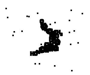 Cn1c(C(=O)Nc2cccc(-c3cccc(NC(=O)c4nc5c(n4C)CCN(CC46CCC(C=O)(CC4)C6)C5)c3Cl)c2Cl)nc2c1CCN(CCO)C2